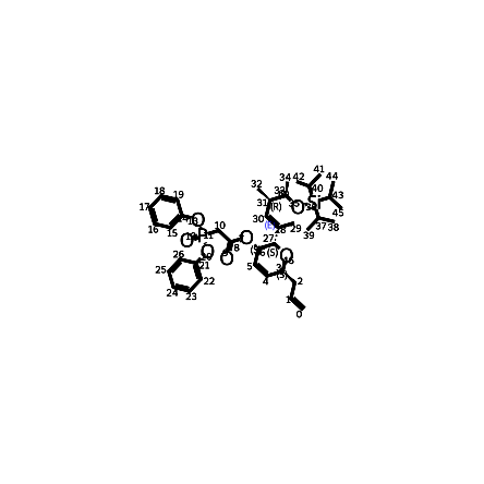 C=CC[C@H]1C=C[C@H](OC(=O)CP(=O)(Oc2ccccc2)Oc2ccccc2)[C@H](/C(C)=C/[C@@H](C)[C@@H](C)O[Si](C(C)C)(C(C)C)C(C)C)O1